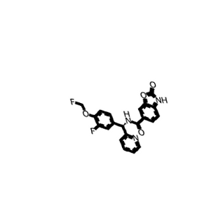 O=C(N[C@@H](c1ccc(OCF)c(F)c1)c1ccccn1)c1ccc2[nH]c(=O)oc2c1